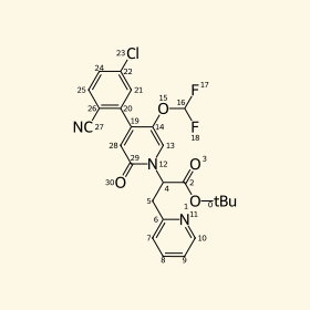 CC(C)(C)OC(=O)C(Cc1ccccn1)n1cc(OC(F)F)c(-c2cc(Cl)ccc2C#N)cc1=O